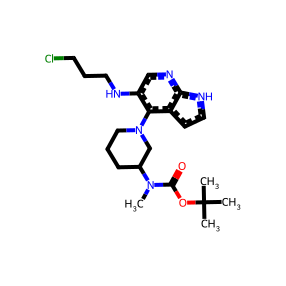 CN(C(=O)OC(C)(C)C)C1CCCN(c2c(NCCCCl)cnc3[nH]ccc23)C1